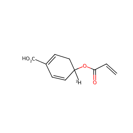 [2H]C1(OC(=O)C=C)C=CC(C(=O)O)=CC1